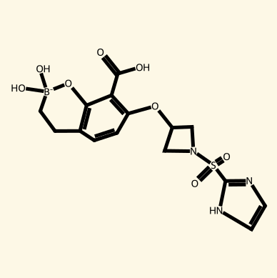 O=C(O)c1c(OC2CN(S(=O)(=O)c3ncc[nH]3)C2)ccc2c1O[B-](O)(O)CC2